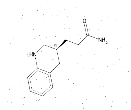 NC(=O)CC[C@@H]1CNc2ccccc2C1